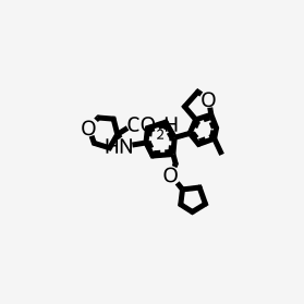 Cc1cc2c(c(-c3ccc(NC4(C(=O)O)CCOCC4)cc3COC3CCCC3)c1)CCO2